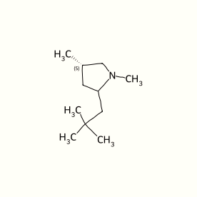 C[C@H]1CC(CC(C)(C)C)N(C)C1